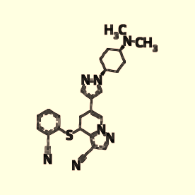 CN(C)[C@H]1CC[C@@H](n2cc(C3=Cn4ncc(C#N)c4C(Sc4ccccc4C#N)C3)cn2)CC1